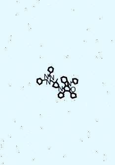 Cc1cc(-n2c3ccccc3c3c4c5ccccc5oc4c4c(c5ccccc5n4-c4ccccc4)c32)ccc1-c1nc(-c2ccccc2)nc(-c2ccccc2)n1